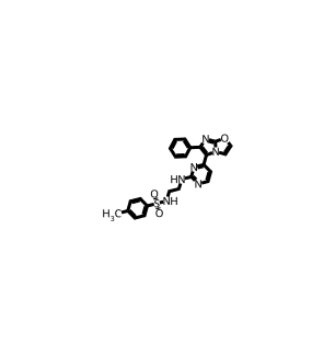 Cc1ccc(S(=O)(=O)NCCNc2nccc(-c3c(-c4ccccc4)nc4occn34)n2)cc1